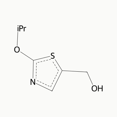 CC(C)Oc1ncc(CO)s1